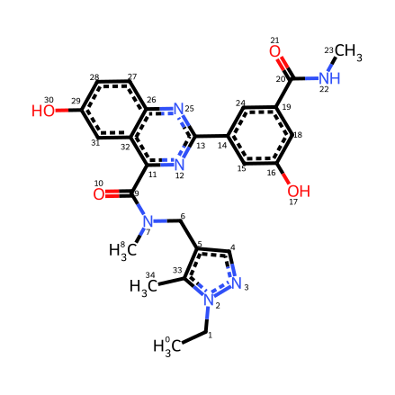 CCn1ncc(CN(C)C(=O)c2nc(-c3cc(O)cc(C(=O)NC)c3)nc3ccc(O)cc23)c1C